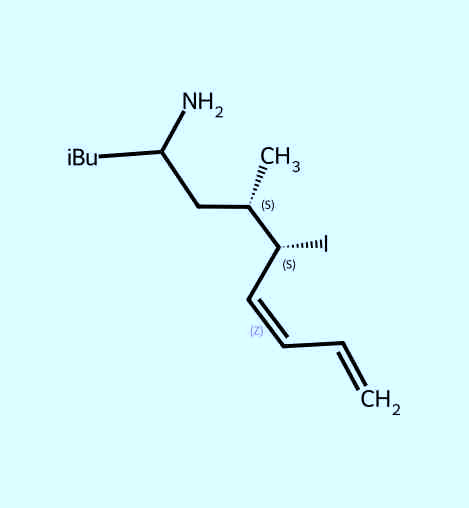 C=C/C=C\[C@@H](I)[C@@H](C)CC(N)C(C)CC